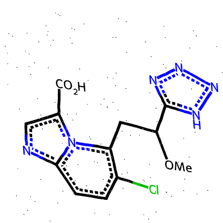 COC(Cc1c(Cl)ccc2ncc(C(=O)O)n12)c1nnn[nH]1